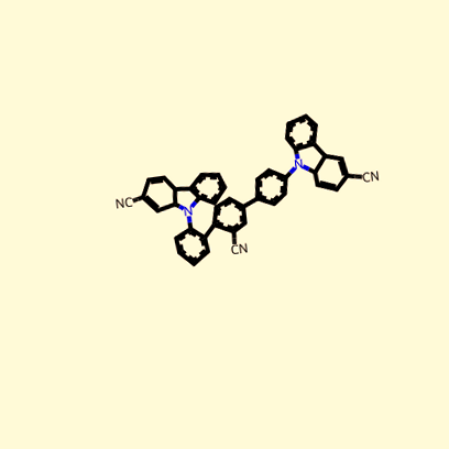 N#CC1=CC2c3ccccc3N(c3ccc(-c4ccc(-c5ccccc5N5c6ccccc6C6C=CC(C#N)=CC65)c(C#N)c4)cc3)C2C=C1